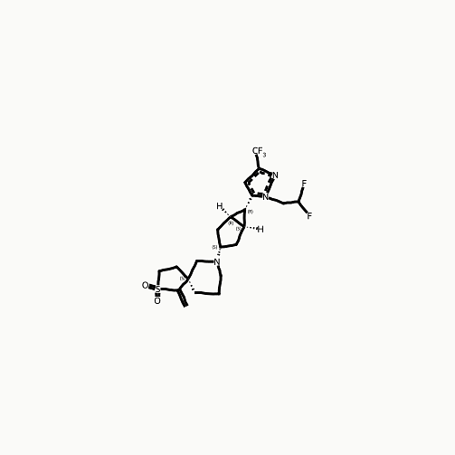 C=C1[C@@]2(CCCN([C@@H]3C[C@@H]4[C@H](C3)[C@H]4c3cc(C(F)(F)F)nn3CC(F)F)C2)CCS1(=O)=O